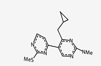 CNc1ncc(-c2ccnc(SC)n2)c(CC2CC2)n1